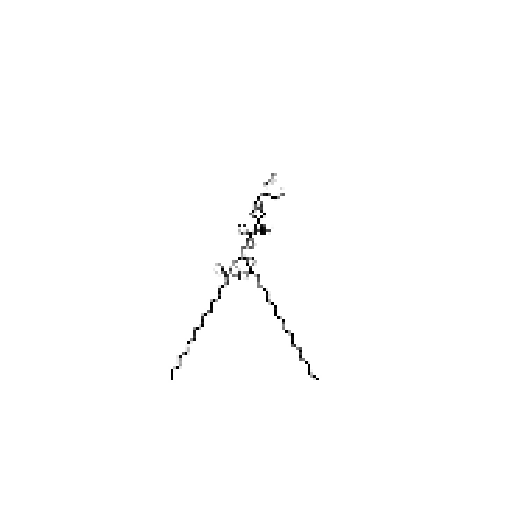 CCCCCCCCCCCCCCCC(=O)OCC(COC(=O)NC1CN(CC(CF)CF)C1)OC(=O)CCCCCCCCCCCCCCC